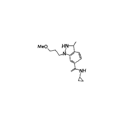 C=C(NC1CC1)c1ccc2c(c1)N(CCCOC)NC2C